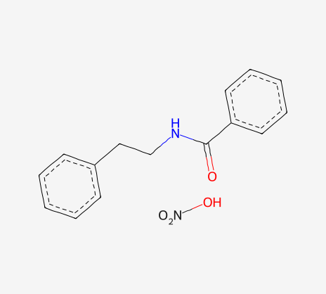 O=C(NCCc1ccccc1)c1ccccc1.O=[N+]([O-])O